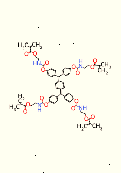 C=C(C)C(=O)OCCNC(=O)Oc1ccc(C(c2ccc(OC(=O)NCCOC(=O)C(=C)C)cc2)c2ccc(C(c3ccc(OC(=O)NCCOC(=O)C(=C)C)cc3)c3ccc(OC(=O)NCCOC(=O)C(=C)C)cc3)cc2)cc1